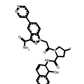 NC(=O)c1nn(CC(=O)N2CC(F)CC2C(=O)NC2C=Cc3ccccc3C2O)c2ccc(-c3ccnnc3)cc12